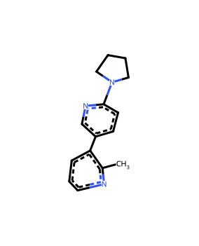 Cc1ncccc1-c1ccc(N2CCCC2)nc1